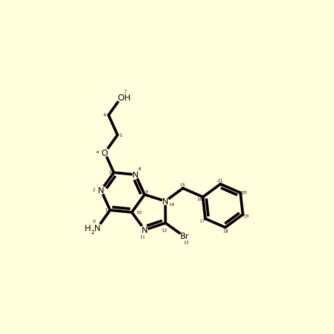 Nc1nc(OCCO)nc2c1nc(Br)n2Cc1ccccc1